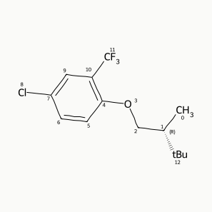 C[C@@H](COc1ccc(Cl)cc1C(F)(F)F)C(C)(C)C